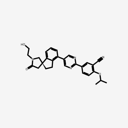 CC(C)Oc1ccc(-c2ncc(-c3cccc4c3CC[C@]43CC(=O)N(CCO)C3)cn2)cc1C#N